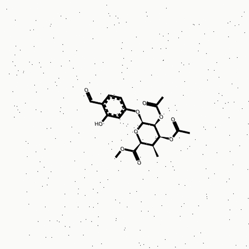 COC(=O)[C@H]1O[C@@H](Oc2ccc(C=O)c(O)c2)[C@@H](OC(C)=O)[C@@H](OC(C)=O)[C@H]1C